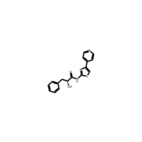 O=C(Nc1nc(-c2ccncc2)cs1)[C@@H](O)Cc1ccccc1